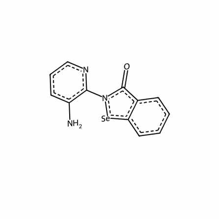 Nc1cccnc1-n1[se]c2ccccc2c1=O